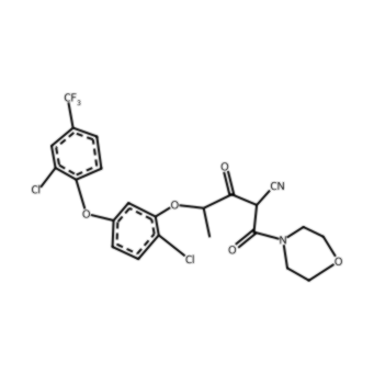 CC(Oc1cc(Oc2ccc(C(F)(F)F)cc2Cl)ccc1Cl)C(=O)C(C#N)C(=O)N1CCOCC1